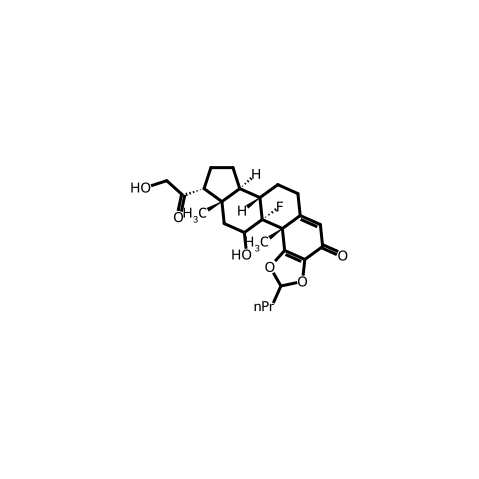 CCCC1OC2=C(O1)[C@@]1(C)C(=CC2=O)CC[C@H]2[C@@H]3CC[C@@H](C(=O)CO)[C@@]3(C)CC(O)[C@@]21F